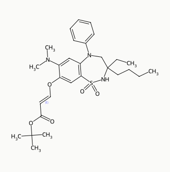 CCCCC1(CC)CN(c2ccccc2)c2cc(N(C)C)c(O/C=C/C(=O)OC(C)(C)C)cc2S(=O)(=O)N1